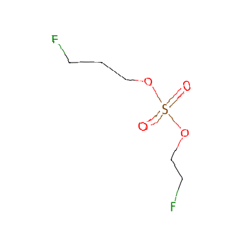 O=S(=O)(OCCF)OCCCF